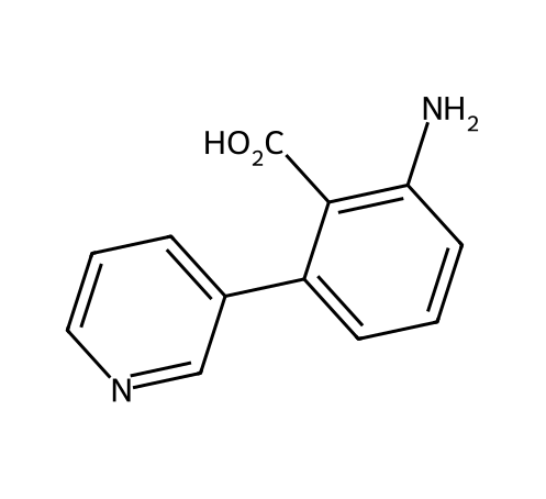 Nc1cccc(-c2cccnc2)c1C(=O)O